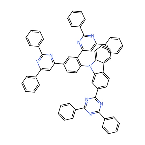 c1ccc(-c2cc(-c3ccc(-n4c5ccccc5c5ccc(-c6nc(-c7ccccc7)nc(-c7ccccc7)n6)cc54)c(-c4cc(-c5ccccc5)nc(-c5ccccc5)n4)c3)nc(-c3ccccc3)n2)cc1